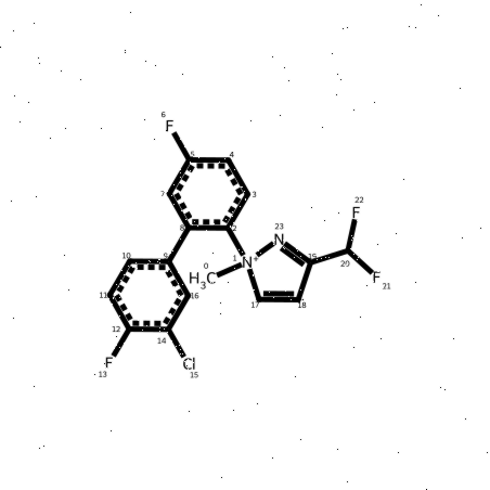 C[N+]1(c2ccc(F)cc2-c2ccc(F)c(Cl)c2)C=[C]C(C(F)F)=N1